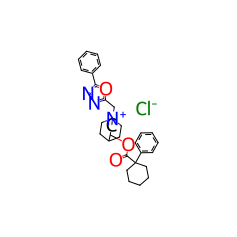 O=C(OC1C[N+]2(Cc3nnc(-c4ccccc4)o3)CCC1CC2)C1(c2ccccc2)CCCCC1.[Cl-]